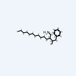 CCCCCCCCCCCC(CN)C(C)Cc1ccccc1